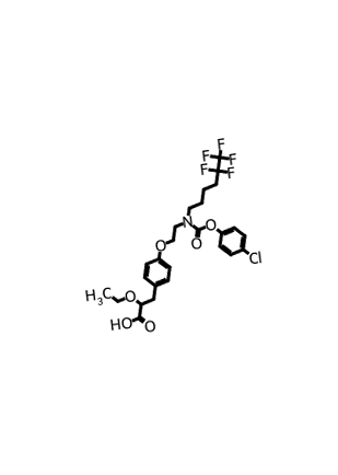 CCOC(Cc1ccc(OCCN(CCCCC(F)(F)C(F)(F)F)C(=O)Oc2ccc(Cl)cc2)cc1)C(=O)O